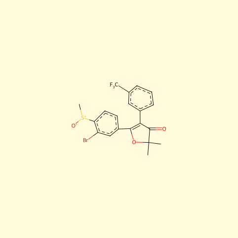 C[S+]([O-])c1ccc(C2=C(c3cccc(C(F)(F)F)c3)C(=O)C(C)(C)O2)cc1Br